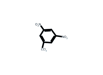 O=[N+]([O-])c1cc([N+](=O)[O-])cc(C(Cl)(Cl)Cl)c1